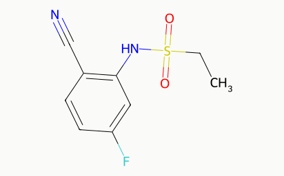 CCS(=O)(=O)Nc1cc(F)ccc1C#N